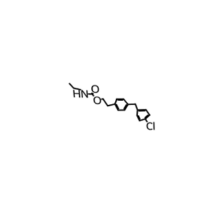 CCCNC(=O)OCCc1ccc(Cc2ccc(Cl)cc2)cc1